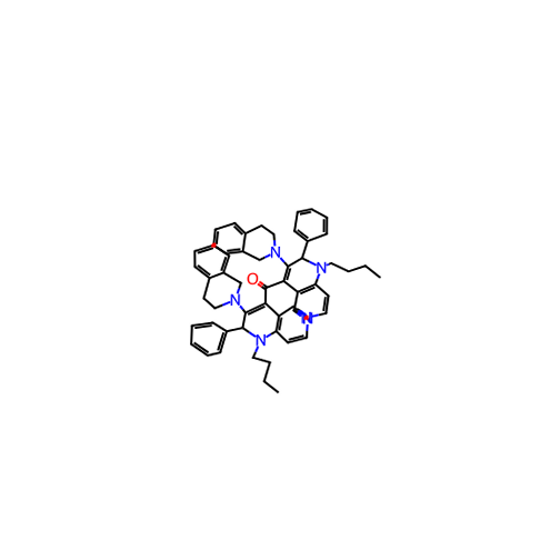 CCCCN1c2ccncc2C(C(=O)C2=C(N3CCc4ccccc4C3)C(c3ccccc3)N(CCCC)c3ccncc32)=C(N2CCc3ccccc3C2)C1c1ccccc1